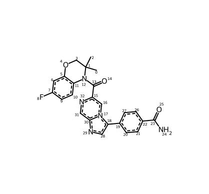 CC1(C)COc2cc(F)ccc2N1C(=O)c1cn2c(-c3ccc(C(N)=O)cc3)cnc2cn1